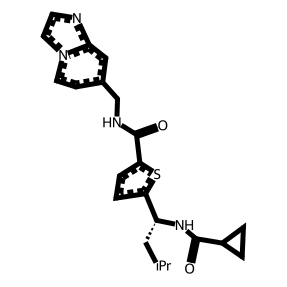 CC(C)C[C@@H](NC(=O)C1CC1)c1ccc(C(=O)NCc2ccn3ccnc3c2)s1